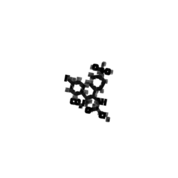 CS(=O)(=O)c1ccc(C(NC(=O)C(F)(F)F)=C(C(=O)O)c2ccc(F)cc2)cc1